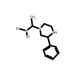 CCN(CC)C(C)N1CCNC(c2ccccc2)C1